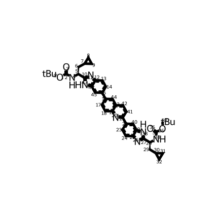 CC(C)(C)OC(=O)N[C@@H](CC1CC1)c1nc2ccc(-c3ccc4nc(-c5ccc6nc([C@H](CC7CC7)NC(=O)OC(C)(C)C)[nH]c6c5)ccc4c3)cc2[nH]1